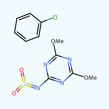 COc1nc(N=S(=O)=O)nc(OC)n1.Clc1ccccc1